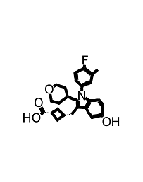 Cc1cc(-n2c(C3CCOCC3)c(C[C@H]3C[C@@H](C(=O)O)C3)c3cc(O)ccc32)ccc1F